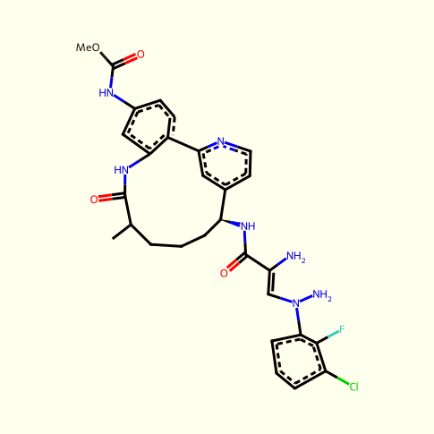 COC(=O)Nc1ccc2c(c1)NC(=O)C(C)CCC[C@H](NC(=O)/C(N)=C/N(N)c1cccc(Cl)c1F)c1ccnc-2c1